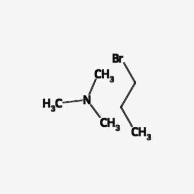 CCCBr.CN(C)C